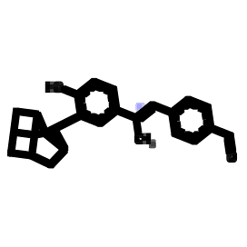 C/C(=C\c1ccc(C=O)cc1)c1ccc(O)c(C2C3CC4CC5CC2C45C3)c1